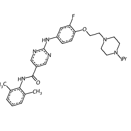 Cc1cccc(C)c1NC(=O)c1cnc(Nc2ccc(OCCN3CCN(C(C)C)CC3)c(F)c2)nc1